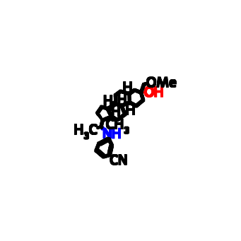 COC[C@@]1(O)CC[C@H]2[C@H](CC[C@@H]3[C@@H]2CC[C@]2(C)[C@@H]([C@H](C)Nc4cccc(C#N)c4)CC[C@@H]32)C1